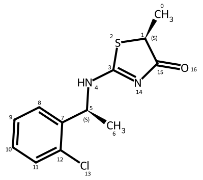 C[C@@H]1SC(N[C@@H](C)c2ccccc2Cl)=NC1=O